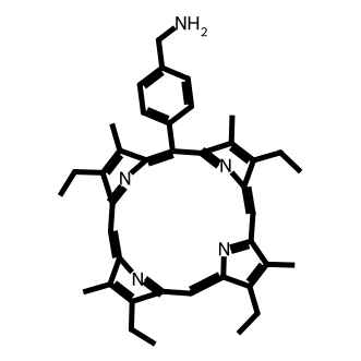 CCC1=C(C)C2=NC1=CC1=NC(=CC3=NC(=C(c4ccc(CN)cc4)C4=NC(=C2)C(CC)=C4C)C(C)=C3CC)C(C)=C1CC